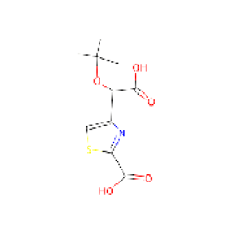 CC(C)(C)OC(C(=O)O)c1csc(C(=O)O)n1